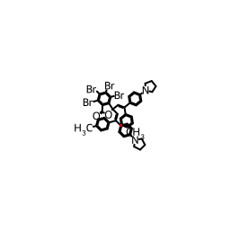 Cc1ccc(/C(=C\C2(/C=C(\c3ccc(C)cc3)c3ccc(N4CCCC4)cc3)OC(=O)c3c(Br)c(Br)c(Br)c(Br)c32)c2ccc(N3CCCC3)cc2)cc1